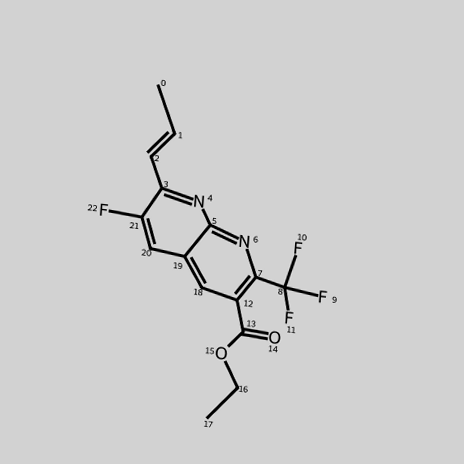 CC=Cc1nc2nc(C(F)(F)F)c(C(=O)OCC)cc2cc1F